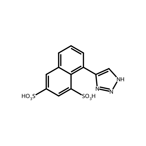 O=S(=O)(O)c1cc(S(=O)(=O)O)c2c(-c3c[nH]nn3)cccc2c1